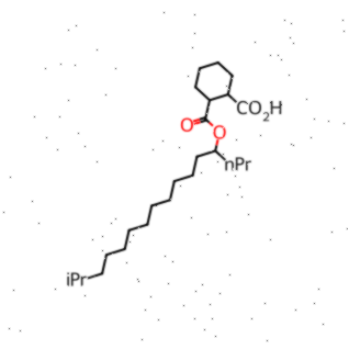 CCCC(CCCCCCCCCCC(C)C)OC(=O)C1CCCCC1C(=O)O